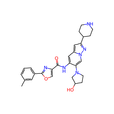 Cc1cccc(-c2nc(C(=O)Nc3cc4cc(C5CCNCC5)nn4cc3N3CCC(O)C3)co2)c1